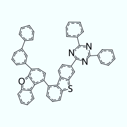 c1ccc(-c2cccc(-c3ccc(-c4cccc5sc6cc(-c7nc(-c8ccccc8)nc(-c8ccccc8)n7)ccc6c45)c4c3oc3ccccc34)c2)cc1